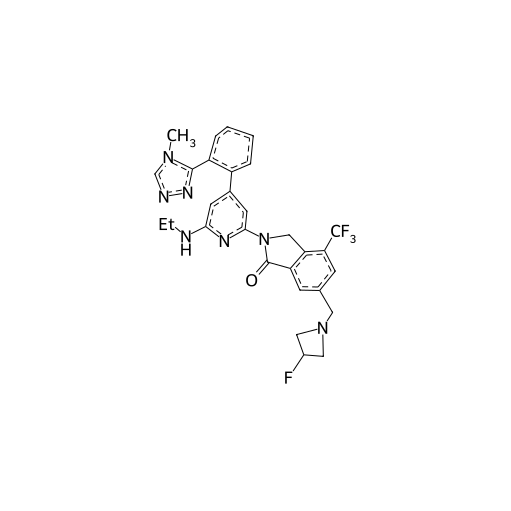 CCNc1cc(-c2ccccc2-c2nncn2C)cc(N2Cc3c(cc(CN4CC(F)C4)cc3C(F)(F)F)C2=O)n1